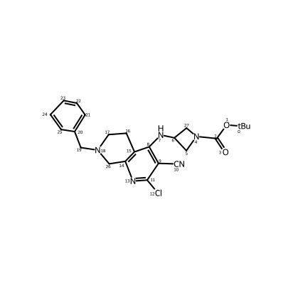 CC(C)(C)OC(=O)N1CC(Nc2c(C#N)c(Cl)nc3c2CCN(Cc2ccccc2)C3)C1